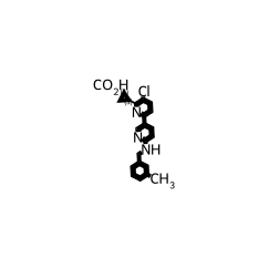 Cc1cccc(CNc2ccc(-c3ccc(Cl)c([C@H]4C[C@@H]4C(=O)O)n3)cn2)c1